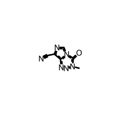 Cn1nnc2c(C#N)ncn2c1=O